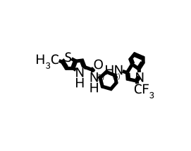 Cc1cc2[nH]c(C(=O)N[C@@H]3CCC[C@H](Nc4cc(C(F)(F)F)nc5ccccc45)C3)cc2s1